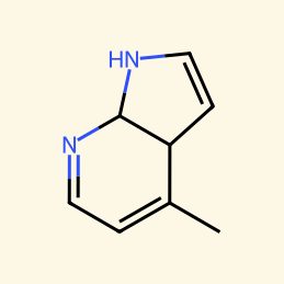 CC1=CC=NC2NC=CC12